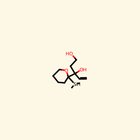 C=CC(O)(CCO)C1([SiH](C)C)CCCCO1